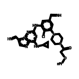 CCCOCC(=O)N1CCN(c2cc(C=N)cc(Nc3nc(NC4CC4)c4ncc(C=N)n4n3)c2Cl)CC1